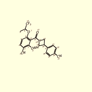 COc1c(C#N)ccc(OC(C)C(F)(F)F)c1C(=O)N1CC(c2ccc(C#N)cc2)C1